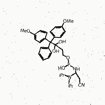 COc1ccc(C(c2ccccc2)(c2ccc(OC)cc2)C(O)(O)CCOP(O)NC(CC#N)N(C(C)C)C(C)C)cc1